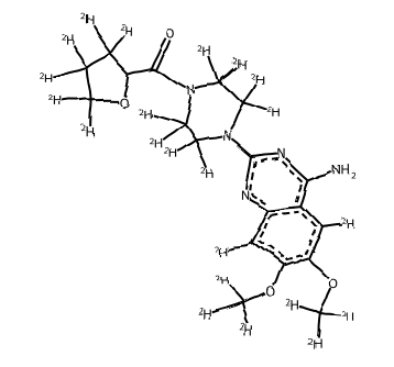 [2H]c1c(OC([2H])([2H])[2H])c(OC([2H])([2H])[2H])c([2H])c2c(N)nc(N3C([2H])([2H])C([2H])([2H])N(C(=O)C4OC([2H])([2H])C([2H])([2H])C4([2H])[2H])C([2H])([2H])C3([2H])[2H])nc12